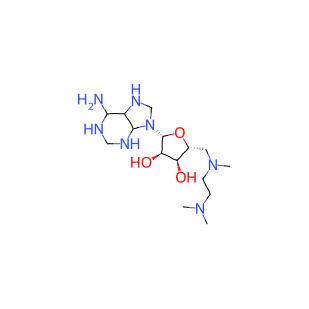 CN(C)CCN(C)C[C@H]1O[C@@H](N2CNC3C(N)NCNC32)[C@H](O)[C@@H]1O